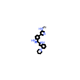 CC(C)Nc1cncc(-c2ccc3[nH]nc(-c4cc5c(N6CCCCC6)cccc5[nH]4)c3c2)c1